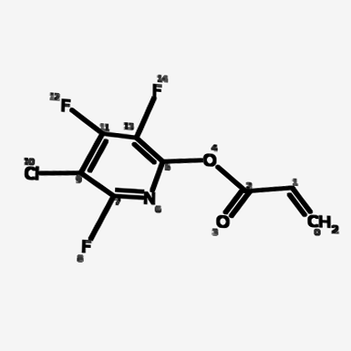 C=CC(=O)Oc1nc(F)c(Cl)c(F)c1F